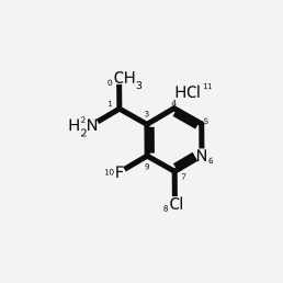 CC(N)c1ccnc(Cl)c1F.Cl